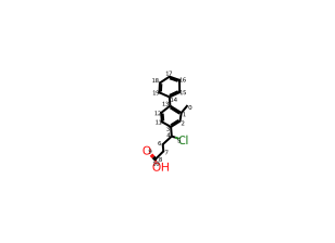 Cc1cc(C(Cl)CCC(=O)O)ccc1-c1ccccc1